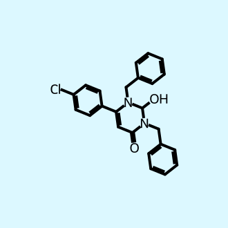 O=C1C=C(c2ccc(Cl)cc2)N(Cc2ccccc2)C(O)N1Cc1ccccc1